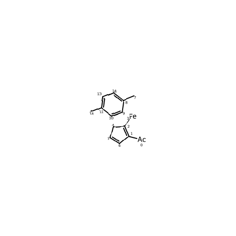 CC(=O)C1=[C]([Fe])CC=C1.Cc1ccc(C)cc1